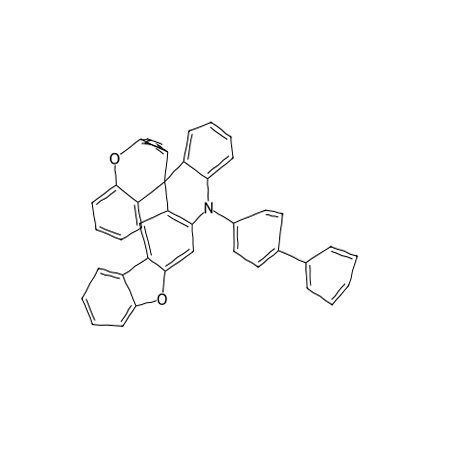 c1ccc(-c2ccc(N3c4ccccc4C4(c5ccccc5Oc5ccccc54)c4cc5c(cc43)oc3ccccc35)cc2)cc1